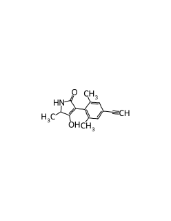 C#Cc1cc(C)c(C2=C(O)C(C)NC2=O)c(C)c1